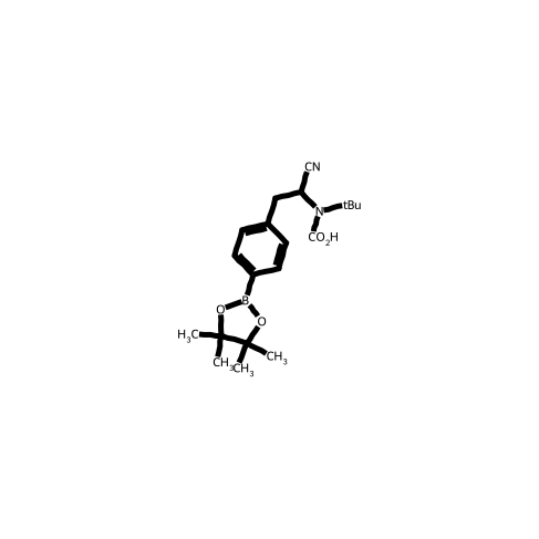 CC(C)(C)N(C(=O)O)C(C#N)Cc1ccc(B2OC(C)(C)C(C)(C)O2)cc1